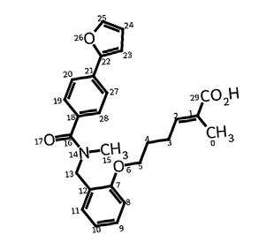 C/C(=C\CCCOc1ccccc1CN(C)C(=O)c1ccc(-c2ccco2)cc1)C(=O)O